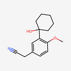 COc1ccc(CC#N)cc1C1(O)CCCCC1